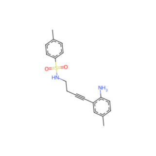 Cc1ccc(S(=O)(=O)NCCC#Cc2cc(C)ccc2N)cc1